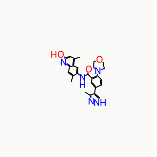 Cc1cc2nc(O)cc(C)c2cc1NC(=O)c1cc(-c2c[nH]nc2C)ccc1N1CCOCC1